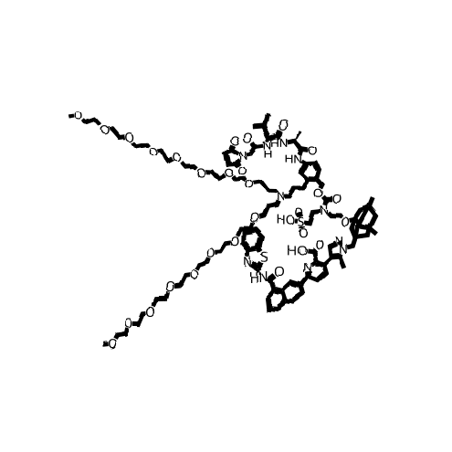 COCCOCCOCCOCCOCCOCCOCCOCCCN(CCCOCCOCCOCCOCCOCCOCCOCCOC)CCCc1cc(NC(=O)[C@H](C)NC(=O)[C@@H](NC(=O)CN2C(=O)C=CC2=O)C(C)C)ccc1COC(=O)N(CCOC12CC3(C)CC(C)(CC(Cn4ncc(-c5ccc(-c6ccc7cccc(C(=O)Nc8nc9ccccc9s8)c7c6)nc5C(=O)O)c4C)(C3)C1)C2)CCS(=O)(=O)O